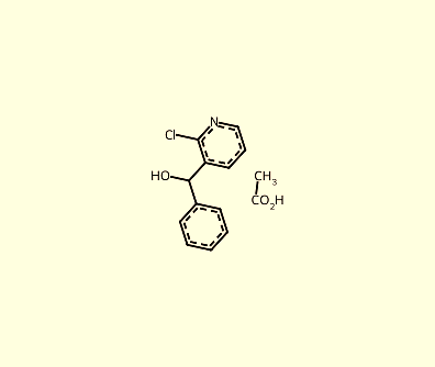 CC(=O)O.OC(c1ccccc1)c1cccnc1Cl